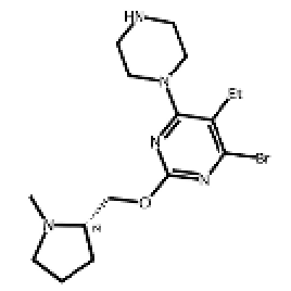 CCc1c(Br)nc(OC[C@@H]2CCCN2C)nc1N1CCNCC1